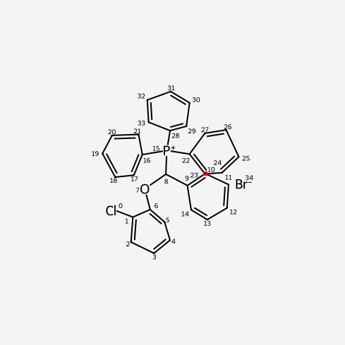 Clc1ccccc1OC(c1ccccc1)[P+](c1ccccc1)(c1ccccc1)c1ccccc1.[Br-]